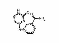 NC(=O)c1cccnc1.Nc1cc[nH]c(=O)n1